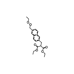 CCOOCc1ccc2cc(CC(C(=O)OCC)C(=O)OCC)ccc2c1